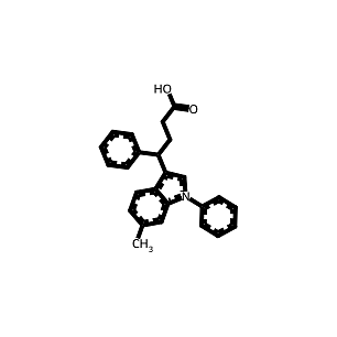 Cc1ccc2c(C(CCC(=O)O)c3ccccc3)cn(-c3ccccc3)c2c1